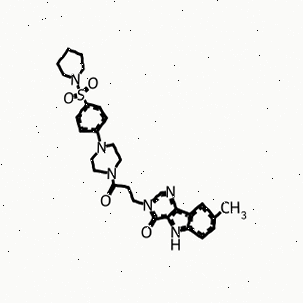 Cc1ccc2[nH]c3c(=O)n(CCC(=O)N4CCN(c5ccc(S(=O)(=O)N6CCCCC6)cc5)CC4)cnc3c2c1